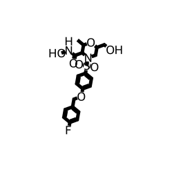 CC1OC(CO)CN(S(=O)(=O)c2ccc(OCc3ccc(F)cc3)cc2)C1C(=O)NO